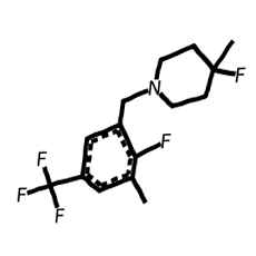 Cc1cc(C(F)(F)F)cc(CN2CCC(C)(F)CC2)c1F